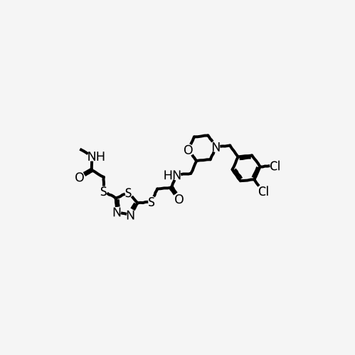 CNC(=O)CSc1nnc(SCC(=O)NCC2CN(Cc3ccc(Cl)c(Cl)c3)CCO2)s1